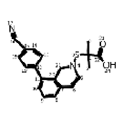 CC(C)(SN1C=Cc2cccc(-c3ccc(C#N)cc3)c2C1)C(=O)O